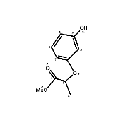 COC(=O)C(C)Oc1cccc(O)c1